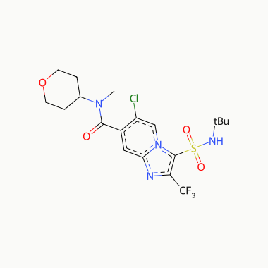 CN(C(=O)c1cc2nc(C(F)(F)F)c(S(=O)(=O)NC(C)(C)C)n2cc1Cl)C1CCOCC1